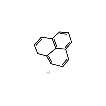 C1=Cc2cccc3cccc(c23)C1.[H]